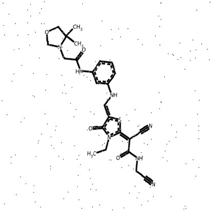 CCn1c(=C(C#N)C(=O)NCC#N)sc(=CNc2cccc(NC(=O)CN3COCC3(C)C)c2)c1=O